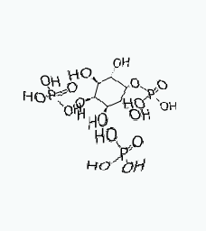 O=P(O)(O)O.O=P(O)(O)O.O=P(O)(O)O[C@@H]1[C@H](O)[C@@H](O)[C@@H](O)[C@@H](O)[C@@H]1O